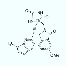 COc1ccc2c(c1)C(=O)N(C[C@@]1(C#Cc3ccc4ccn(C)c4n3)NC(=O)NC1=O)C2